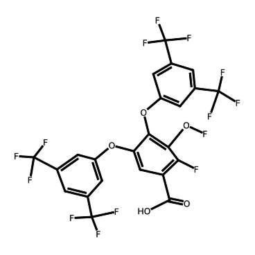 O=C(O)c1cc(Oc2cc(C(F)(F)F)cc(C(F)(F)F)c2)c(Oc2cc(C(F)(F)F)cc(C(F)(F)F)c2)c(OF)c1F